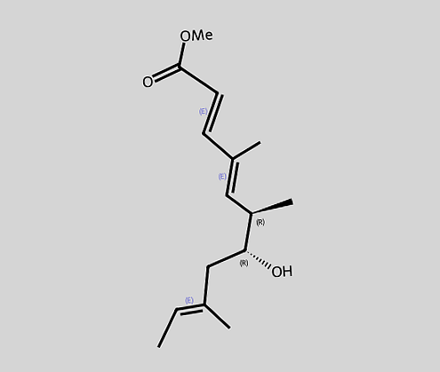 C/C=C(\C)C[C@@H](O)[C@H](C)/C=C(C)/C=C/C(=O)OC